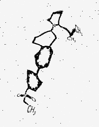 CCS(=O)(=O)c1ccc(-c2ccc3c(c2)CCC(N2CCCC2C(C)C)C3)cc1